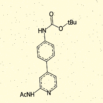 CC(=O)Nc1cc(-c2ccc(NC(=O)OC(C)(C)C)cc2)ccn1